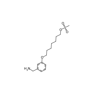 CS(=O)(=O)OCCCCCCCOc1cccc(CN)c1